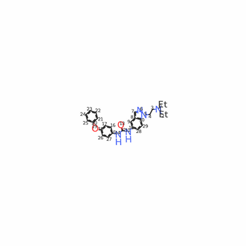 CCN(CC)CCn1ncc2cc(NC(=O)Nc3ccc(Oc4ccccc4)cc3)ccc21